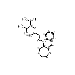 CC(C)N(CC(O)CO/N=C1\CCCCC\C1=C\c1ccccc1)C(C)C